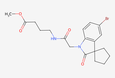 COC(=O)CCCNC(=O)CN1C(=O)C2(CCCC2)c2cc(Br)ccc21